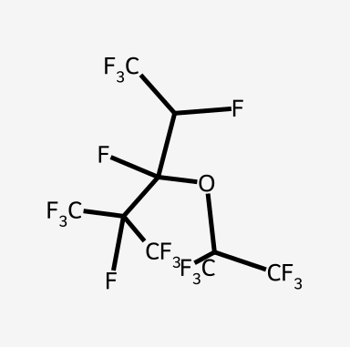 FC(C(F)(F)F)C(F)(OC(C(F)(F)F)C(F)(F)F)C(F)(C(F)(F)F)C(F)(F)F